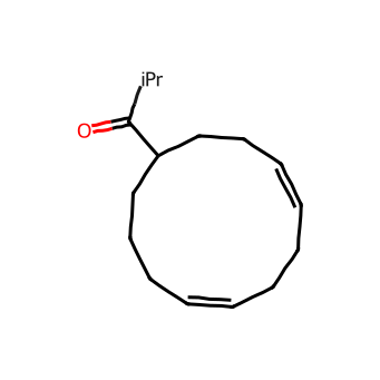 CC(C)C(=O)C1CC/C=C\CC/C=C\CCC1